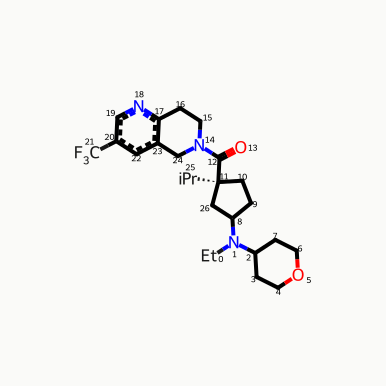 CCN(C1CCOCC1)C1CC[C@@](C(=O)N2CCc3ncc(C(F)(F)F)cc3C2)(C(C)C)C1